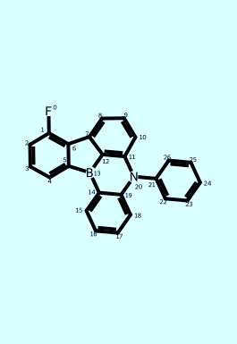 Fc1cccc2c1-c1cccc3c1B2c1ccccc1N3c1ccccc1